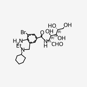 CCN(Cc1cc(C(=O)N[C@@H](C=O)[C@@H](O)[C@H](O)[C@H](O)CO)cc(Br)c1N)C1CCCCC1